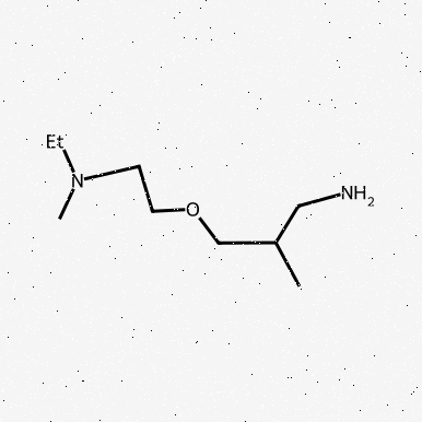 CCN(C)CCOCC(C)CN